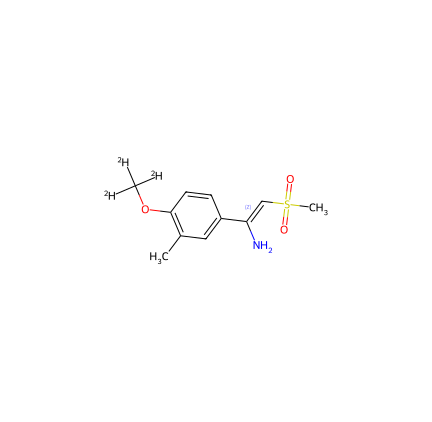 [2H]C([2H])([2H])Oc1ccc(/C(N)=C/S(C)(=O)=O)cc1C